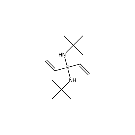 C=C[Si](C=C)(NC(C)(C)C)NC(C)(C)C